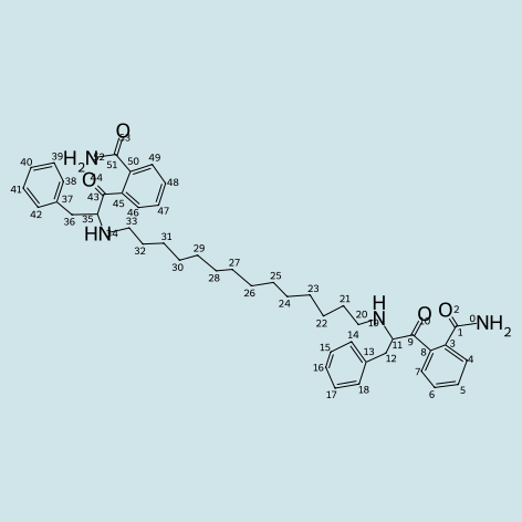 NC(=O)c1ccccc1C(=O)C(Cc1ccccc1)NCCCCCCCCCCCCCCNC(Cc1ccccc1)C(=O)c1ccccc1C(N)=O